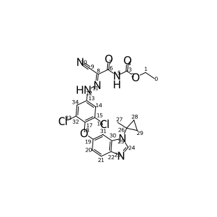 CCOC(=O)NC(=O)/C(C#N)=N/Nc1cc(Cl)c(Oc2ccc3ncn(C4(C)CC4)c3c2)c(Cl)c1